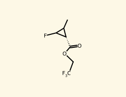 CC1C(F)[C@H]1C(=O)OCC(F)(F)F